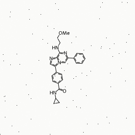 COCCNc1nc(-c2ccccc2)cn2c(-c3ccc(C(=O)NC4CC4)cc3)cnc12